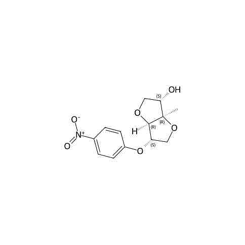 C[C@]12OC[C@H](Oc3ccc([N+](=O)[O-])cc3)[C@H]1OC[C@@H]2O